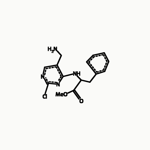 COC(=O)C(Cc1ccccc1)Nc1nc(Cl)ncc1CN